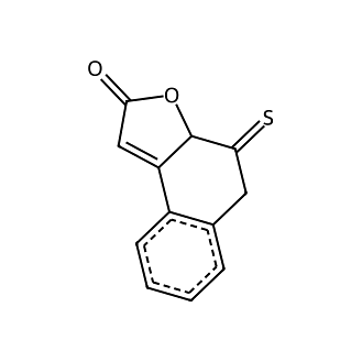 O=C1C=C2c3ccccc3CC(=S)C2O1